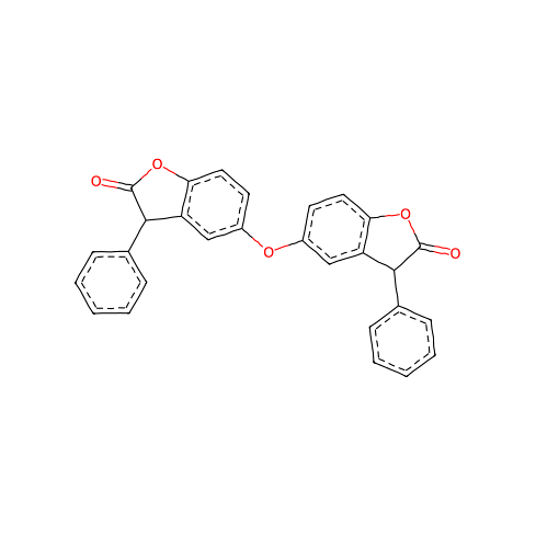 O=C1Oc2ccc(Oc3ccc4c(c3)C(c3ccccc3)C(=O)O4)cc2C1c1ccccc1